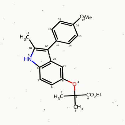 CCOC(=O)C(C)(C)Oc1ccc2[nH]c(C)c(-c3ccc(OC)cc3)c2c1